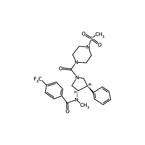 CN(C(=O)c1ccc(C(F)(F)F)cc1)[C@@H]1CN(C(=O)N2CCN(S(C)(=O)=O)CC2)C[C@H]1c1ccccc1